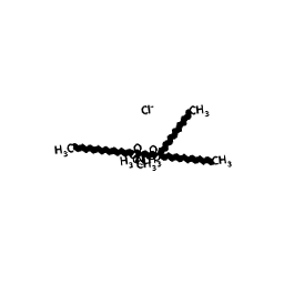 CCCCCCCCCCCCCCCCOC(=O)C(CCC(=O)OC(CCCCCCCCCCCCCC)CCCCCCCCCCCCCC)[N+](C)(C)C.[Cl-]